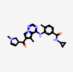 Cc1ccc(C(=O)NC2CC2)cc1Nc1ncnn2cc(C(=O)C3C=CN(C)C3)c(C)c12